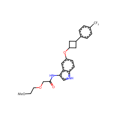 COCCOCC(=O)Nc1c[nH]c2ccc(OC3CC(c4ccc(C(F)(F)F)cc4)C3)cc12